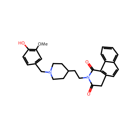 COc1cc(CN2CCC(CCN3C(=O)Cc4ccc5ccccc5c4C3=O)CC2)ccc1O